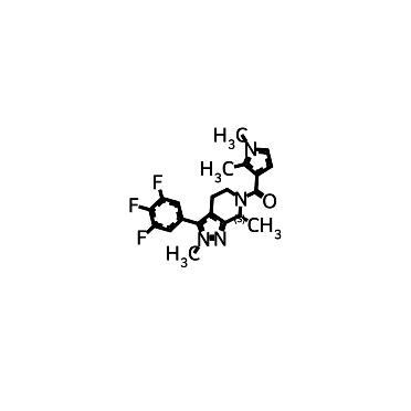 Cc1c(C(=O)N2CCc3c(nn(C)c3-c3cc(F)c(F)c(F)c3)[C@@H]2C)ccn1C